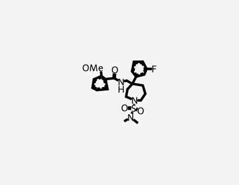 COc1ccccc1C(=O)NCC1(c2cccc(F)c2)CCCN(S(=O)(=O)N(C)C)CC1